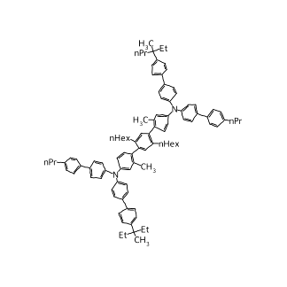 CCCCCCc1cc(-c2ccc(N(c3ccc(-c4ccc(CCC)cc4)cc3)c3ccc(-c4ccc(C(C)(CC)CCC)cc4)cc3)cc2C)c(CCCCCC)cc1-c1ccc(N(c2ccc(-c3ccc(CCC)cc3)cc2)c2ccc(-c3ccc(C(C)(CC)CC)cc3)cc2)cc1C